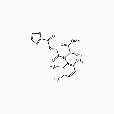 COC(=O)C(C)N(C(=O)CSC(=O)c1cccs1)c1c(C)ccc(C)c1C